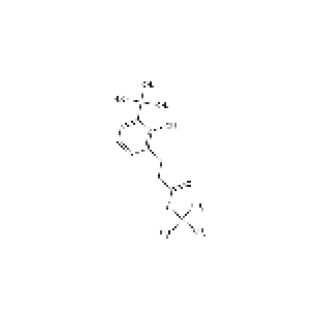 CC(C)(C)OC(=O)CCc1cccc(C(C)(C)C)c1O